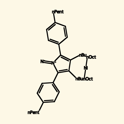 CCCCCCC[CH2][Ni][CH2]CCCCCCC.CCCCCc1ccc(C2=C(CCCC)C(CCCC)=C(c3ccc(CCCCC)cc3)[N+]2=[N-])cc1